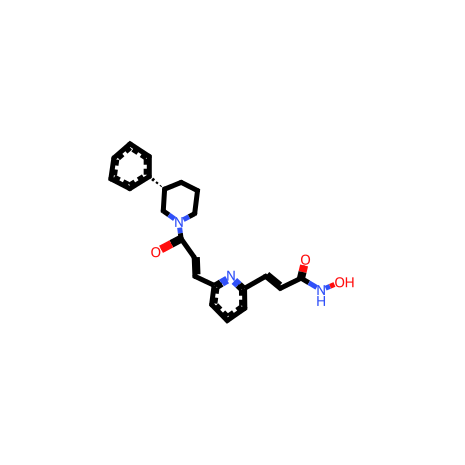 O=C(/C=C/c1cccc(/C=C/C(=O)N2CCC[C@@H](c3ccccc3)C2)n1)NO